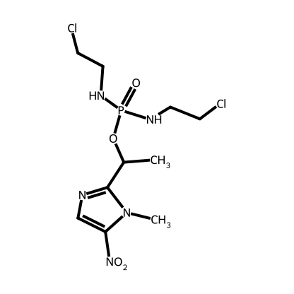 CC(OP(=O)(NCCCl)NCCCl)c1ncc([N+](=O)[O-])n1C